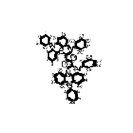 c1ccc(N2c3ccccc3B3c4c2cccc4N(c2ccccc2)c2oc4c5c(oc4c23)N2c3ccccc3N(c3ccccc3)c3cccc(c32)N5c2ccccc2)cc1